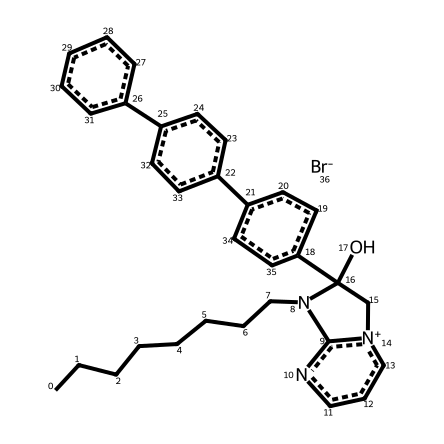 CCCCCCCCN1c2nccc[n+]2CC1(O)c1ccc(-c2ccc(-c3ccccc3)cc2)cc1.[Br-]